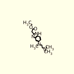 CCOC(=O)Cc1nc2cc(N(C)CCN(C)C)ccc2[nH]1